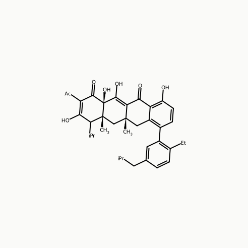 CCc1ccc(CC(C)C)cc1-c1ccc(O)c2c1C[C@]1(C)C[C@]3(C)C(C(C)C)C(O)=C(C(C)=O)C(=O)[C@]3(O)C(O)=C1C2=O